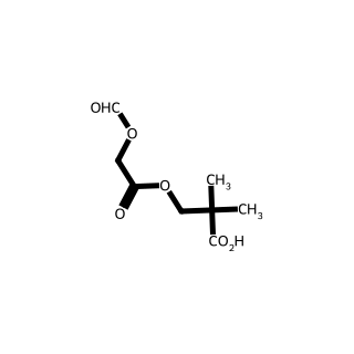 CC(C)(COC(=O)COC=O)C(=O)O